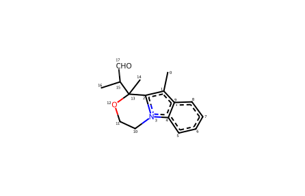 Cc1c2n(c3ccccc13)CCOC2(C)C(C)C=O